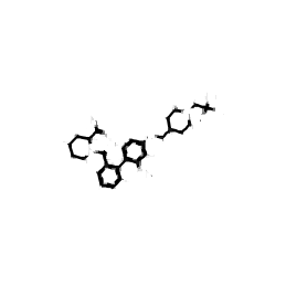 CCC(F)(CC)CN1CCC(COc2ccc(-c3ccccc3C(=O)N3CCCCC3C(N)=O)c(C#N)c2)CC1